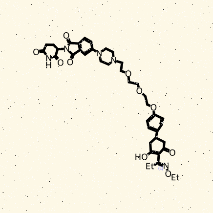 CCO/N=C(\CC)C1=C(O)CC(c2ccc(OCCOCCOCCN3CCN(c4ccc5c(c4)C(=O)N(C4CCC(=O)NC4=O)C5=O)CC3)cc2)CC1=O